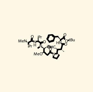 CC[C@H](C)[C@@H]([C@@H](CC(=O)N1CCC[C@H]1[C@H](C=O)[C@@H](C)C(=O)N[C@@H](Cc1ccccc1)C(=O)OC(C)(C)C)OC)N(C)C(=O)[C@@H](NC(=O)[C@@H](NC)C(C)C)C(C)C